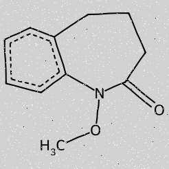 CON1C(=O)CCCc2ccccc21